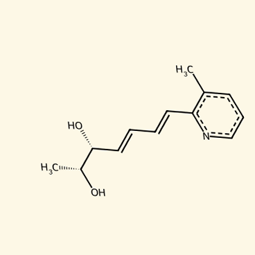 Cc1cccnc1/C=C/C=C/[C@@H](O)[C@@H](C)O